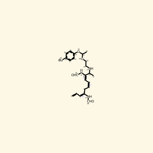 C=C/C=C(\C/C=C\C=C(\NC=O)C(C)NCCOC(C)Oc1ccc(C(C)CC)cc1)NC=O